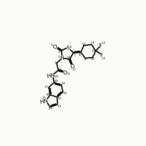 O=C(CN1C(=O)SC(=C2CCC(F)(F)CC2)C1=O)Nc1ccc2cc[nH]c2c1